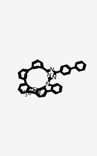 C[Si]1(C)c2c3cccc2-c2ccc4c5ccccc5n(c4c21)-c1nc(-c2ccc(-c4ccccc4)cc2)nc(n1)-c1cccc(c1)-c1cccc-3c1